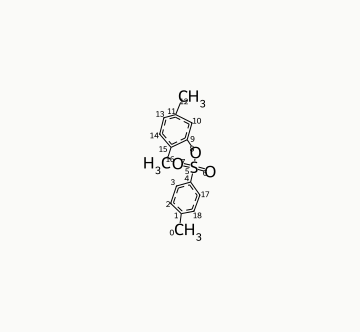 Cc1ccc(S(=O)(=O)Oc2cc(C)ccc2C)cc1